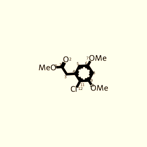 COC(=O)Cc1cc(OC)cc(OC)c1Cl